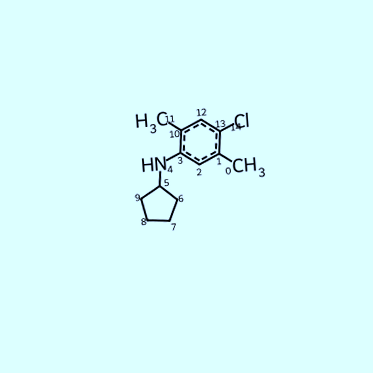 Cc1cc(NC2CCCC2)c(C)cc1Cl